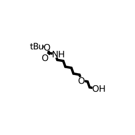 CC(C)(C)OC(=O)NCCCCCCOCCO